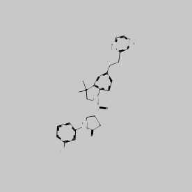 CC1(C)CN(C(=O)[C@H]2CC(=O)N(c3cccc(Cl)c3)C2)c2ccc(CCc3cnccn3)cc21